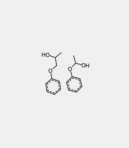 CC(O)COc1ccccc1.CC(O)Oc1ccccc1